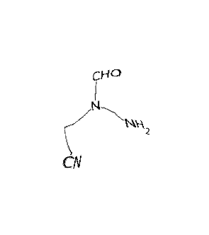 N#CCN(N)C=O